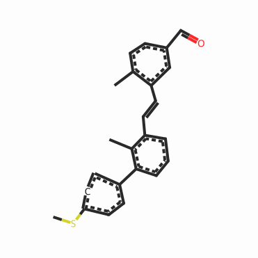 CSc1ccc(-c2cccc(/C=C/c3cc(C=O)ccc3C)c2C)cc1